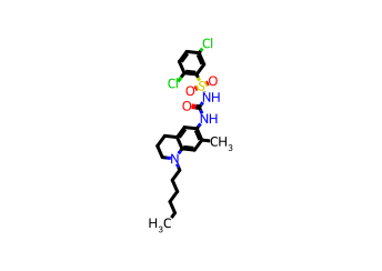 CCCCCCN1CCCc2cc(NC(=O)NS(=O)(=O)c3cc(Cl)ccc3Cl)c(C)cc21